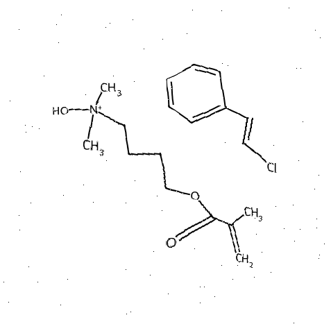 C=C(C)C(=O)OCCCC[N+](C)(C)O.ClC=Cc1ccccc1